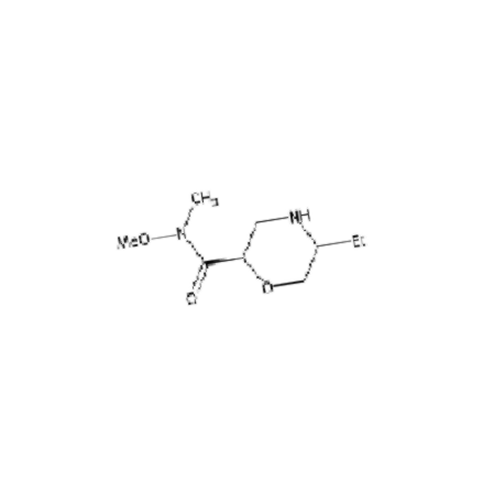 CCC1CO[C@@H](C(=O)N(C)OC)CN1